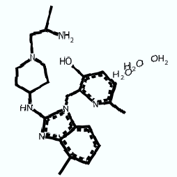 Cc1ccc(O)c(Cn2c(NC3CCN(CC(C)N)CC3)nc3c(C)cccc32)n1.O.O.O